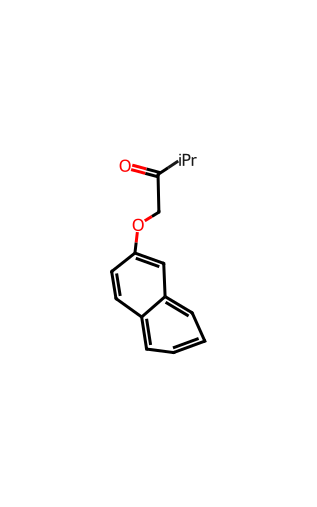 CC(C)C(=O)COc1ccc2ccccc2c1